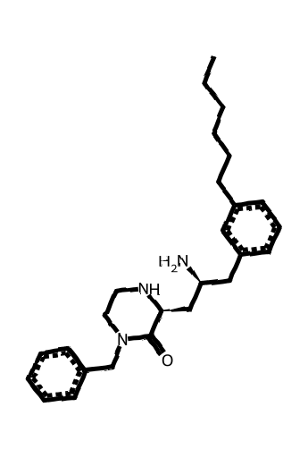 CCCCCCc1cccc(C[C@H](N)C[C@@H]2NCCN(Cc3ccccc3)C2=O)c1